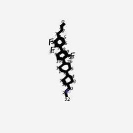 C=CCCc1ccc(-c2ccc(C3CCC(C4C=CC(/C=C/C)CC4)CC3)c(F)c2)c(F)c1F